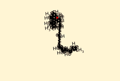 Cc1cn([C@H]2C[C@@H](O)[C@@H](COP(=O)(O)OP(=O)(O)CP(=O)(O)OP(=O)(O)OCCCCCCNC(=O)CCCCCNC(=O)CSc3c(Cl)c(Cl)c(C(=O)O)c(C4=c5cc6c(c(S(=O)(=O)O)c5Oc5c4cc4c(c5S(=O)(=O)O)NC(C)(C)CC4C)=NC(C)(C)CC6C)c3Cl)O2)c(=O)[nH]c1=O